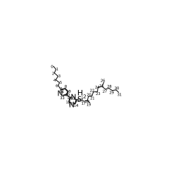 CCCCCCCc1ccc(-c2cncc([SiH2]CC(C)CCCCCC(C)CCCCC)n2)cn1